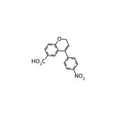 O=C(O)c1ccc2c(c1)C(c1ccc([N+](=O)[O-])cc1)=CCO2